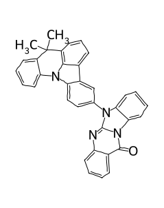 CC1(C)c2ccccc2-n2c3ccc(-n4c5ccccc5n5c(=O)c6ccccc6nc45)cc3c3cccc1c32